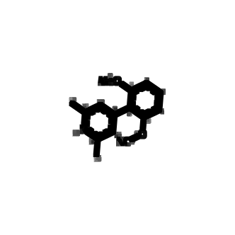 COc1cccc(OC#N)c1-c1cc(C)nc(C)c1